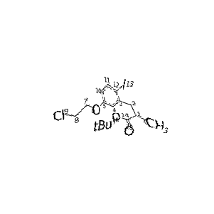 CC(Cc1cc(OCCCl)ccc1I)C(=O)OC(C)(C)C